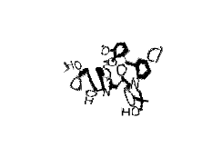 COc1cccc([C@H]2O[C@H](Cc3nc(C(O)CC(=O)O)cs3)C(=O)N(CC(C)(C)CO)c3ccc(Cl)cc32)c1OC